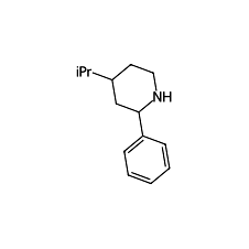 CC(C)C1CCNC(c2ccccc2)C1